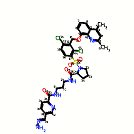 Cc1cc(C)c2cccc(OCc3c(Cl)ccc(S(=O)(=O)N4CCC[C@H]4C(=O)NCCCNC(=O)c4ccc(C=NN)cn4)c3Cl)c2n1